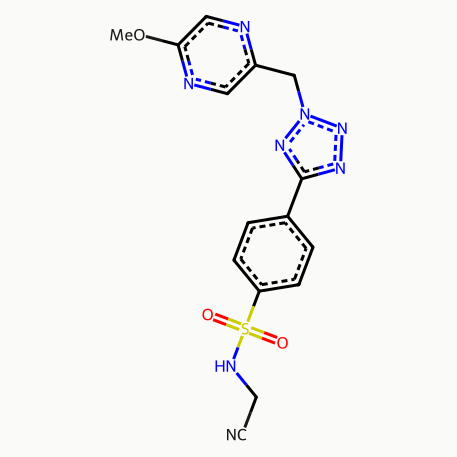 COc1cnc(Cn2nnc(-c3ccc(S(=O)(=O)NCC#N)cc3)n2)cn1